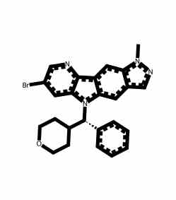 Cn1ncc2cc3c(cc21)c1ncc(Br)cc1n3[C@H](c1ccccc1)C1CCOCC1